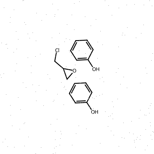 ClCC1CO1.Oc1ccccc1.Oc1ccccc1